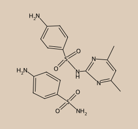 Cc1cc(C)nc(NS(=O)(=O)c2ccc(N)cc2)n1.Nc1ccc(S(N)(=O)=O)cc1